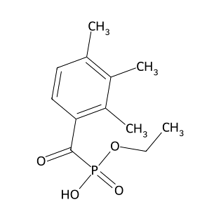 CCOP(=O)(O)C(=O)c1ccc(C)c(C)c1C